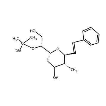 C[C@@H]1C(O)C[C@H]([C@@H](CO)O[Si](C)(C)C(C)(C)C)O[C@H]1/C=C/c1ccccc1